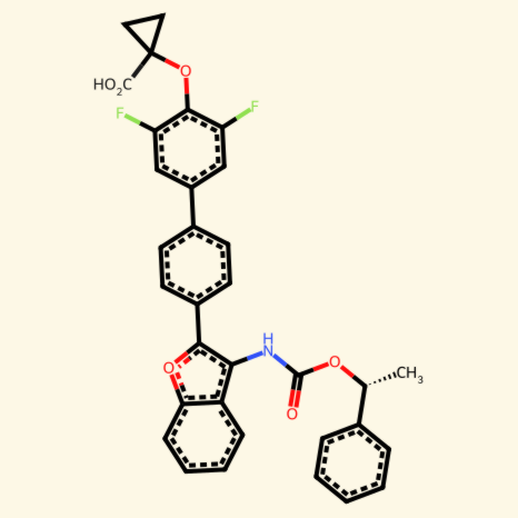 C[C@@H](OC(=O)Nc1c(-c2ccc(-c3cc(F)c(OC4(C(=O)O)CC4)c(F)c3)cc2)oc2ccccc12)c1ccccc1